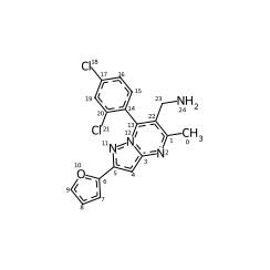 Cc1nc2cc(-c3ccco3)nn2c(-c2ccc(Cl)cc2Cl)c1CN